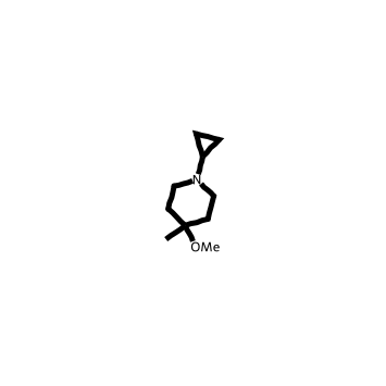 COC1(C)CCN(C2CC2)CC1